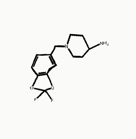 NC1CCN(Cc2ccc3c(c2)OC(F)(F)O3)CC1